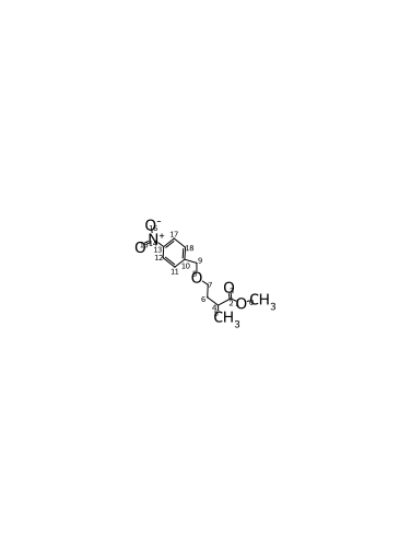 COC(=O)C(C)CCOCc1ccc([N+](=O)[O-])cc1